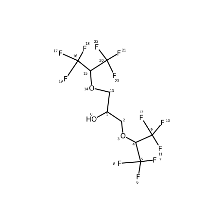 OC(COC(C(F)(F)F)C(F)(F)F)COC(C(F)(F)F)C(F)(F)F